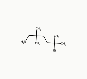 CCC(C)(C)CCC(C)(C)CN